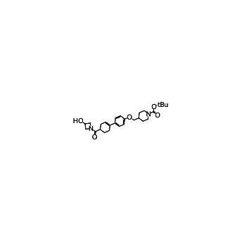 CC(C)(C)OC(=O)N1CCC(COc2ccc(C3=CCC(C(=O)N4CC(O)C4)CC3)cc2)CC1